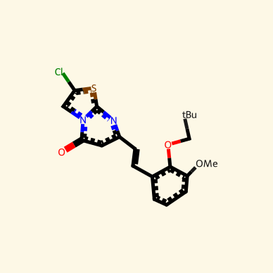 COc1cccc(C=Cc2cc(=O)n3cc(Cl)sc3n2)c1OCC(C)(C)C